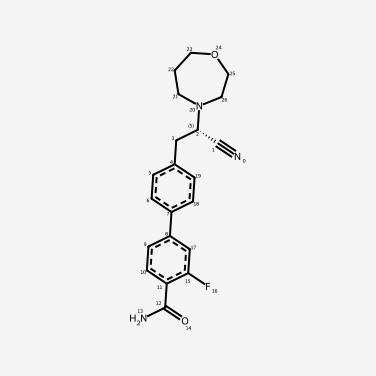 N#C[C@H](Cc1ccc(-c2ccc(C(N)=O)c(F)c2)cc1)N1CCCOCC1